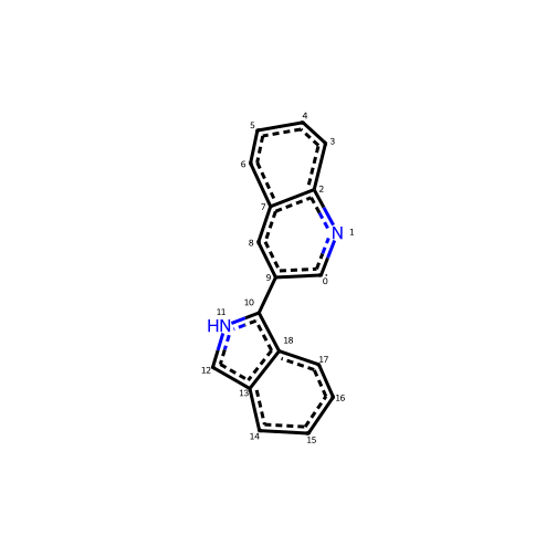 [c]1nc2ccccc2cc1-c1[nH]cc2ccccc12